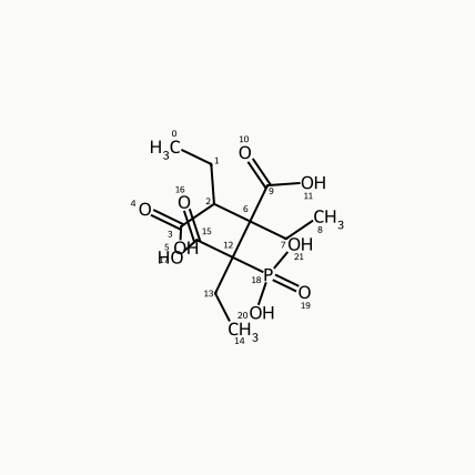 CCC(C(=O)O)C(CC)(C(=O)O)C(CC)(C(=O)O)P(=O)(O)O